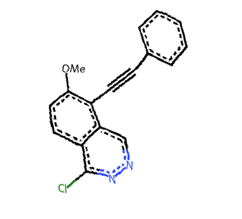 COc1ccc2c(Cl)nncc2c1C#Cc1ccccc1